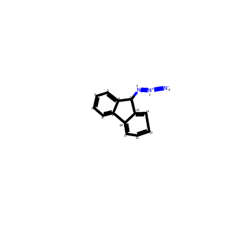 [N-]=[N+]=N[C]1c2ccccc2-c2ccccc21